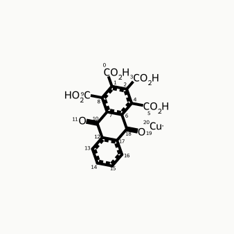 O=C(O)c1c(C(=O)O)c(C(=O)O)c2c(c1C(=O)O)C(=O)c1ccccc1C2=O.[Cu]